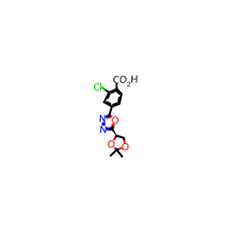 CC1(C)OC[C@H](c2nnc(-c3ccc(C(=O)O)c(Cl)c3)o2)O1